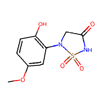 COc1ccc(O)c(N2CC(=O)NS2(=O)=O)c1